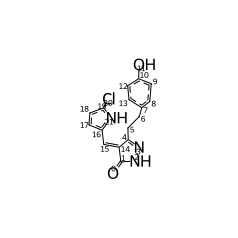 O=C1NN=C(CCc2ccc(O)cc2)C1=Cc1ccc(Cl)[nH]1